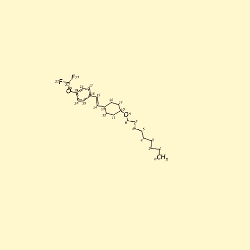 CCCCCCCCCOC1CCC(C=Cc2ccc(OC(F)F)cc2)CC1